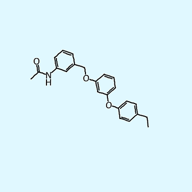 CCc1ccc(Oc2cccc(OCc3cccc(NC(C)=O)c3)c2)cc1